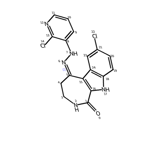 O=C1NCC/C(=N/Nc2cccnc2Cl)c2c1[nH]c1ccc(Cl)cc21